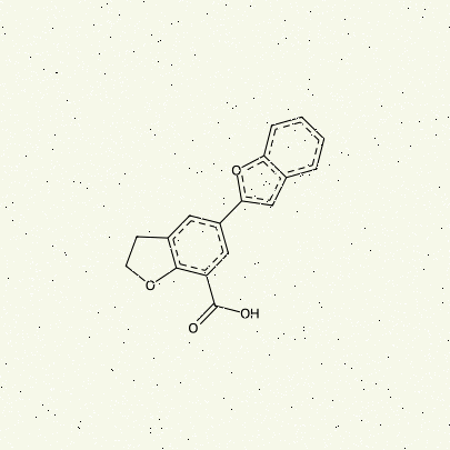 O=C(O)c1cc(-c2cc3ccccc3o2)cc2c1OCC2